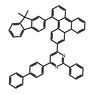 CC1(C)c2ccccc2-c2ccc(-c3cccc4c3=C3C=CC(c5cc(-c6ccc(-c7ccccc7)cc6)nc(-c6ccccc6)n5)=CC3C3C=CC=CC=43)cc21